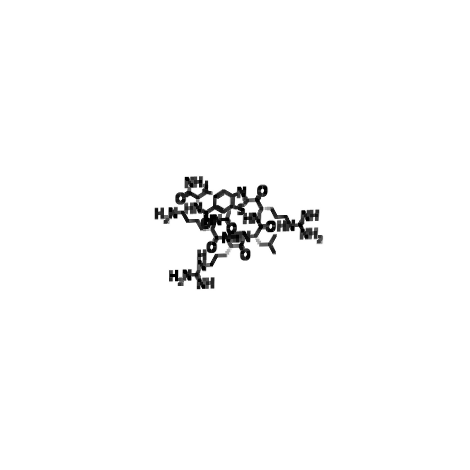 CC(=O)N[C@@H](CCCCN)C(=O)N[C@@H](CCCNC(=N)N)C(=O)N[C@@H](CC(C)C)C(=O)N[C@@H](CCCNC(=N)N)C(=O)c1nc2ccc(C(=O)N[C@H](C(N)=O)C(C)C)cc2s1